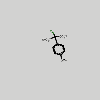 CCOC(=O)C(Cl)(C(=O)OCC)c1ccc(OC)cc1